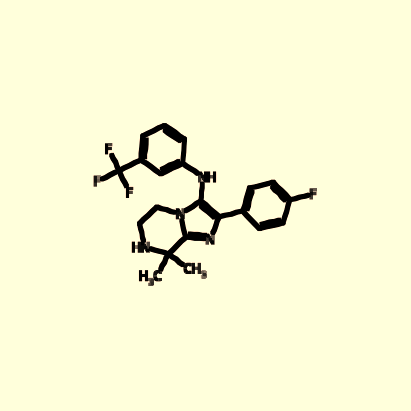 CC1(C)NCCn2c1nc(-c1ccc(F)cc1)c2Nc1cccc(C(F)(F)F)c1